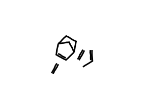 C1=CC2CCC1C2.C=C.C=C.C=CC